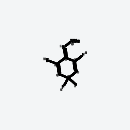 CNN=C1C(F)=CC(C)(F)C=C1F